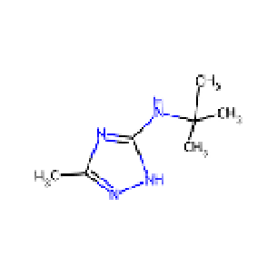 Cc1n[nH]c(NC(C)(C)C)n1